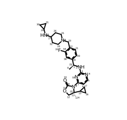 C[C@H](Nc1nccc(N2C(=O)OC[C@]2(C)C2CC2)n1)c1ccc(CN2CCC(NC3CC3)CC2)c(F)c1